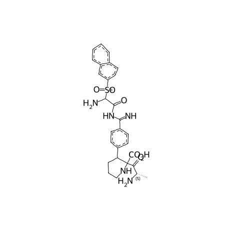 C[C@H](N)C(=O)C1(C(=O)O)NCCCC1c1ccc(C(=N)NC(=O)C(N)S(=O)(=O)c2ccc3ccccc3c2)cc1